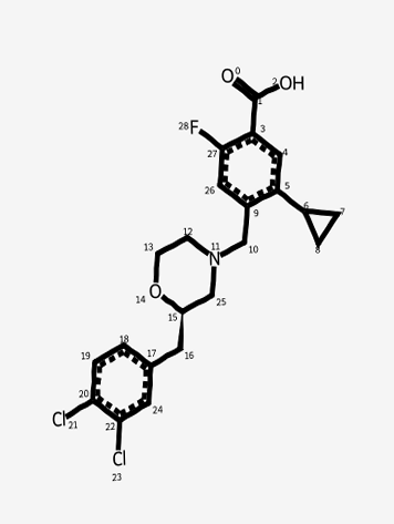 O=C(O)c1cc(C2CC2)c(CN2CCO[C@H](Cc3ccc(Cl)c(Cl)c3)C2)cc1F